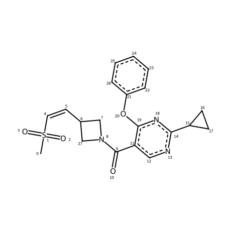 CS(=O)(=O)/C=C\C1CN(C(=O)c2cnc(C3CC3)nc2Oc2ccccc2)C1